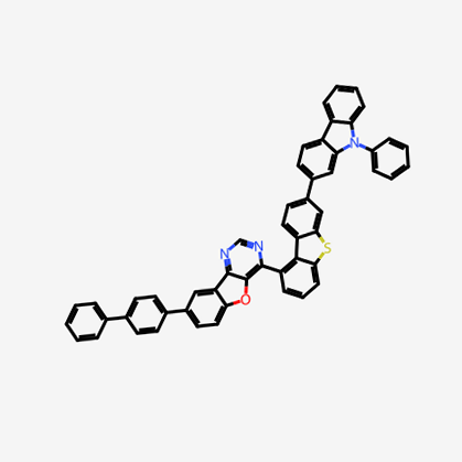 c1ccc(-c2ccc(-c3ccc4oc5c(-c6cccc7sc8cc(-c9ccc%10c%11ccccc%11n(-c%11ccccc%11)c%10c9)ccc8c67)ncnc5c4c3)cc2)cc1